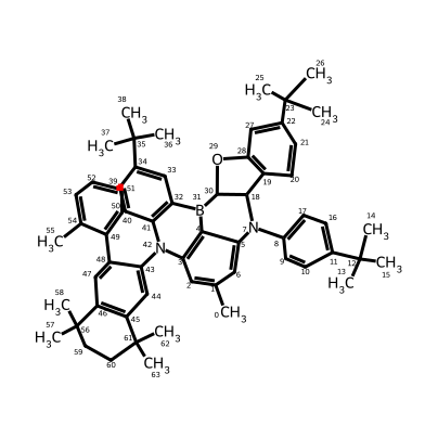 Cc1cc2c3c(c1)N(c1ccc(C(C)(C)C)cc1)C1c4ccc(C(C)(C)C)cc4OC1B3c1cc(C(C)(C)C)ccc1N2c1cc2c(cc1-c1ccccc1C)C(C)(C)CCC2(C)C